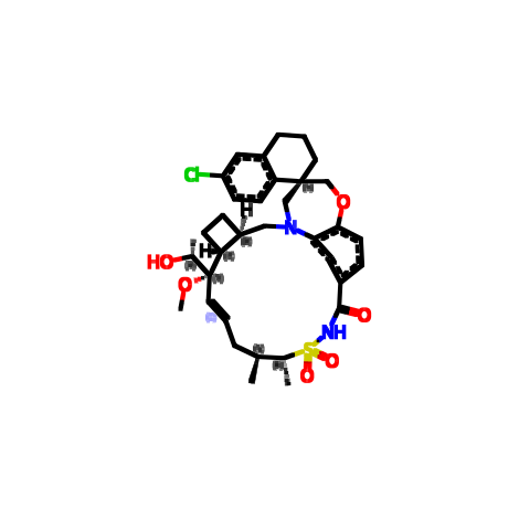 CO[C@@]1([C@@H](C)O)/C=C/C[C@H](C)[C@@H](C)S(=O)(=O)NC(=O)c2ccc3c(c2)N(C[C@@H]2CC[C@H]21)C[C@@]1(CCCc2cc(Cl)ccc21)CO3